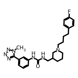 Cn1nnnc1-c1cccc(NC(=O)NCC2CCCN(CCCCc3ccc(F)cc3)C2)c1